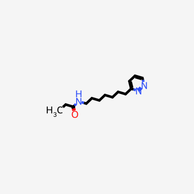 CCC(=O)NCCCCCCCc1cccnn1